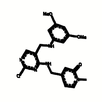 COc1cc(NCc2cnc(Cl)nc2NCc2ccn(C)c(=O)c2)cc(OC)c1